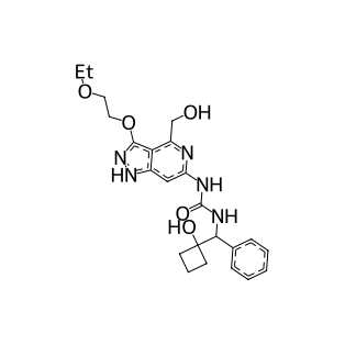 CCOCCOc1n[nH]c2cc(NC(=O)NC(c3ccccc3)C3(O)CCC3)nc(CO)c12